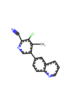 Cc1c(-c2ccc3ncccc3c2)cnc(C#N)c1Cl